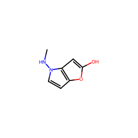 CNn1ccc2oc(O)cc21